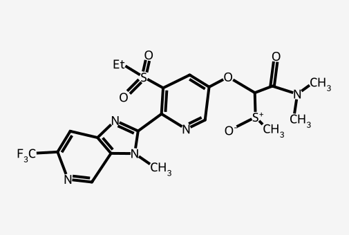 CCS(=O)(=O)c1cc(OC(C(=O)N(C)C)[S+](C)[O-])cnc1-c1nc2cc(C(F)(F)F)ncc2n1C